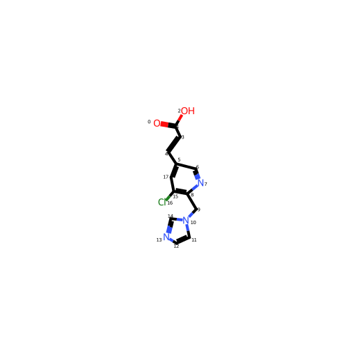 O=C(O)/C=C/c1cnc(Cn2ccnc2)c(Cl)c1